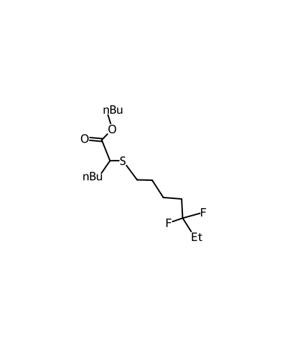 CCCCOC(=O)C(CCCC)SCCCCC(F)(F)CC